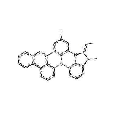 C/C=C1\N(C)c2cccc3c2N1c1cc(C)cc2c1B3c1cccc3c1c-2cc1ccccc13